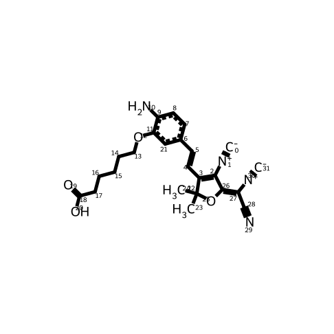 [C-]#[N+]C1=C(/C=C/c2ccc(N)c(OCCCCCC(=O)O)c2)C(C)(C)O/C1=C(\C#N)[N+]#[C-]